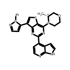 CC(C)n1nccc1-c1csc2c(N3CCOC[C@H]3C)nc(-c3ccnc4[nH]ccc34)nc12